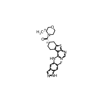 C[C@@H]1COCCN1C(=O)[C@H]1CCc2c(sc3ncnc(Nc4cc5cn[nH]c5cc4F)c23)C1